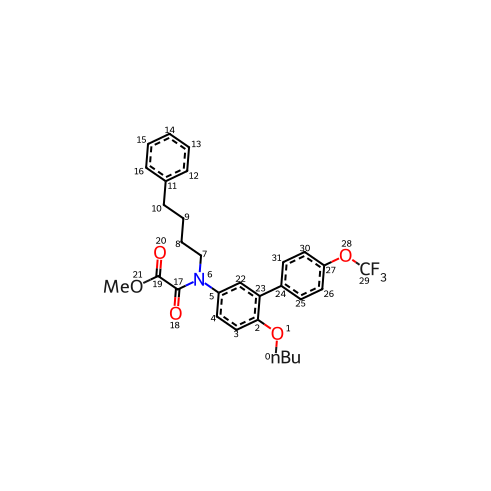 CCCCOc1ccc(N(CCCCc2ccccc2)C(=O)C(=O)OC)cc1-c1ccc(OC(F)(F)F)cc1